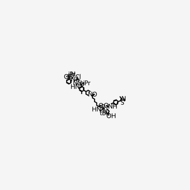 Cc1cc(Nc2ncc(Cl)c(Nc3ccccc3S(=O)(=O)C(C)C)n2)c(OC(C)C)cc1C1CCN(C(=O)CCCCCC(=O)N[C@H](C(=O)N2C[C@H](O)C[C@H]2C(=O)NCc2ccc(-c3scnc3C)cc2)C(C)(C)C)CC1